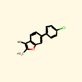 N#Cc1c(C(=O)O)oc2cc(-c3ccc(Cl)cc3)ccc12